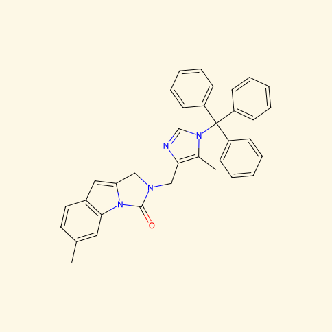 Cc1ccc2cc3n(c2c1)C(=O)N(Cc1ncn(C(c2ccccc2)(c2ccccc2)c2ccccc2)c1C)C3